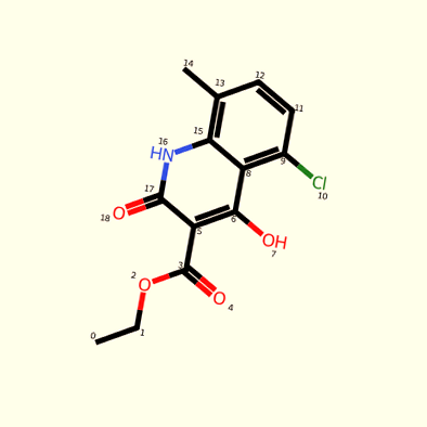 CCOC(=O)c1c(O)c2c(Cl)ccc(C)c2[nH]c1=O